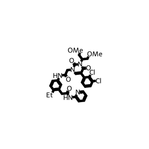 CCc1ccc(NC(=O)Cn2cc(-c3cccc(Cl)c3Cl)c(=O)n(C(COC)COC)c2=O)cc1CC(=O)Nc1ccccn1